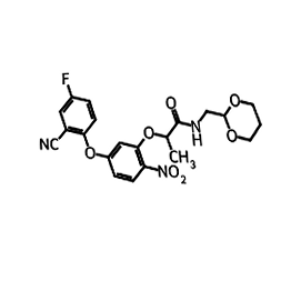 CC(Oc1cc(Oc2ccc(F)cc2C#N)ccc1[N+](=O)[O-])C(=O)NCC1OCCCO1